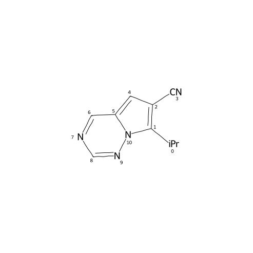 CC(C)c1c(C#N)cc2cncnn12